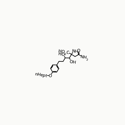 CCCCCCCOc1ccc(CCC(O)C(O)C(N)(CC(N)=O)C(=O)O)cc1